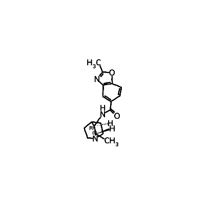 Cc1nc2cc(C(=O)N[C@@H]3C4CCN(CC4)[C@H]3C)ccc2o1